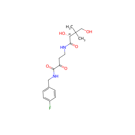 CC(C)(CO)[C@@H](O)C(=O)NCCC(=O)C(=O)NCc1ccc(F)cc1